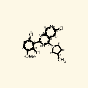 COc1ccc(Cl)c(-c2nc(N3CCC(C)C3)c3cc(Cl)ncc3n2)c1Cl